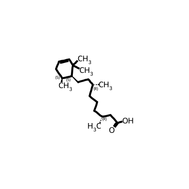 C[C@H](CCC[C@@H](C)CC(=O)O)CC[C@H]1[C@@H](C)CC=CC1(C)C